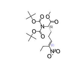 CC/C(=C\CC[C@@H](C(=O)OC)N(C(=O)OC(C)(C)C)C(=O)OC(C)(C)C)[N+](=O)[O-]